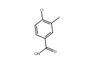 O=NC(=O)c1ccc(Cl)c(I)c1